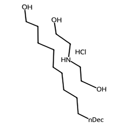 CCCCCCCCCCCCCCCCCCCO.Cl.OCCNCCO